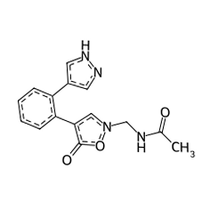 CC(=O)NCn1cc(-c2ccccc2-c2cn[nH]c2)c(=O)o1